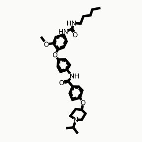 CCCCCNC(=O)Nc1ccc(Oc2ccc(NC(=O)c3ccc(OC4CCN(C(C)C)CC4)cc3)cc2)c(OC)c1